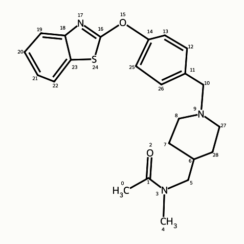 CC(=O)N(C)CC1CCN(Cc2ccc(Oc3nc4ccccc4s3)cc2)CC1